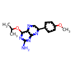 COc1ccc(-c2cnc3c(OC(C)C)nc(N)nc3n2)cc1